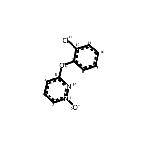 [O-][n+]1cccc(Oc2ccccc2Cl)n1